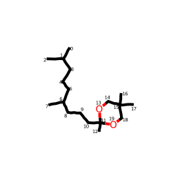 CC(C)CCCC(C)CCCC1(C)OCC(C)(C)CO1